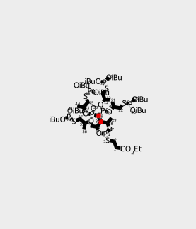 CCOC(=O)CCSP(OC(C)CSP(OC(C)CSP(OCC(C)C)OCC(C)C)OC(C)CSP(OCC(C)C)OCC(C)C)OC(C)CSP(=O)(OC(C)CSP(OCC(C)C)OCC(C)C)OC(C)CSP(OCC(C)C)OCC(C)C